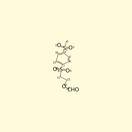 CS(=O)(=O)c1ccc(S(=O)(=O)CCOC=O)cc1